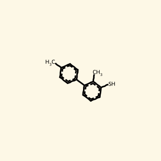 Cc1ccc(-c2cccc(S)c2C)cc1